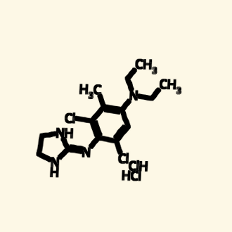 CCN(CC)c1cc(Cl)c(N=C2NCCN2)c(Cl)c1C.Cl.Cl